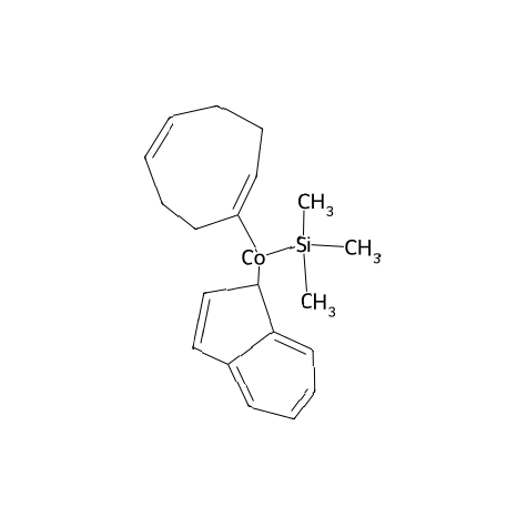 C[Si](C)(C)[Co]([C]1=CCCC=CCC1)[CH]1C=Cc2ccccc21